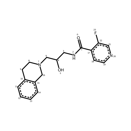 O=C(NCC(O)CN1CCc2ccccc2C1)c1ccncc1F